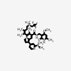 COc1cc(C)[nH]c(=O)c1CNC(=O)c1cc2c(-c3ccnc(N(C)C)c3)ccn2c(/C(C)=C(/C)CCN(C)CC(F)(F)F)c1C